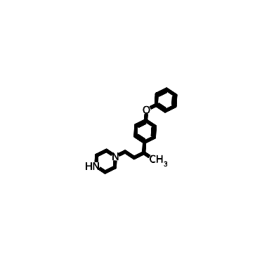 CC(CCN1CCNCC1)c1ccc(Oc2ccccc2)cc1